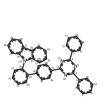 c1ccc(-c2nc(-c3ccccc3)nc(-c3ccc(-c4ccccc4-n4c5ccccc5c5ccccc54)cc3)n2)cc1